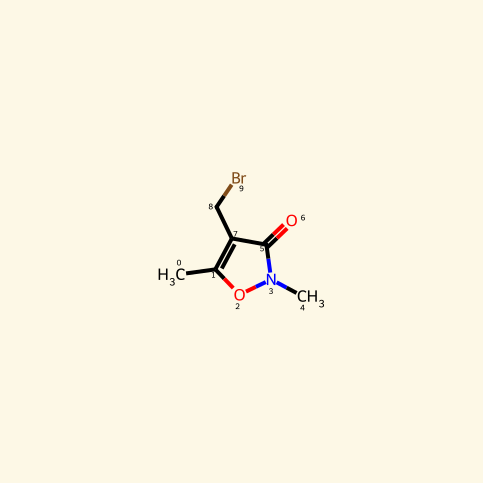 Cc1on(C)c(=O)c1CBr